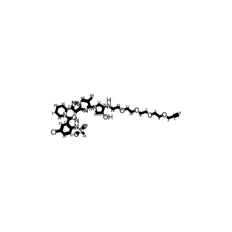 C#CCOCCOCCOCCOCCN[C@@H]1CN(c2nc3cc([C@@H]4CCCCN4C(=O)c4cc(Cl)ccc4NS(C)(=O)=O)nn3cc2C)C[C@@H]1O